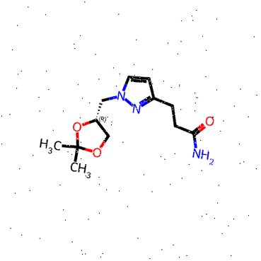 CC1(C)OC[C@@H](Cn2ccc(CCC(N)=O)n2)O1